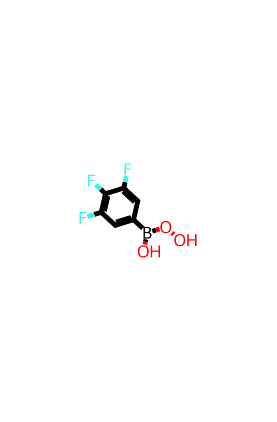 OOB(O)c1cc(F)c(F)c(F)c1